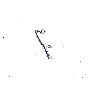 CC/C=C/C/C=C/C/C=C(/C/C=C/C/C=C/C/C=C/CC[C]=O)[N+](=O)[O-]